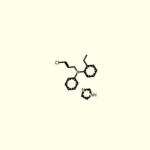 CCc1ccccc1B(CC=CCl)c1ccccc1.c1c[nH]cn1